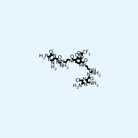 NC(=NC(=O)c1nc(Cl)c(N)nc1N)NCCNC(=O)c1ccc(C(=O)NCCNC(N)=NC(=O)c2nc(Cl)c(N)nc2N)c(OC(=O)C(F)(F)F)c1O